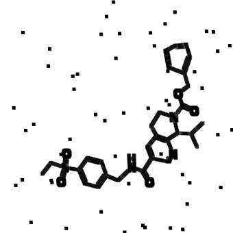 CCS(=O)(=O)c1ccc(CNC(=O)c2cnc3c(c2)CCN(C(=O)OCc2ccccc2)C3C(C)C)cc1